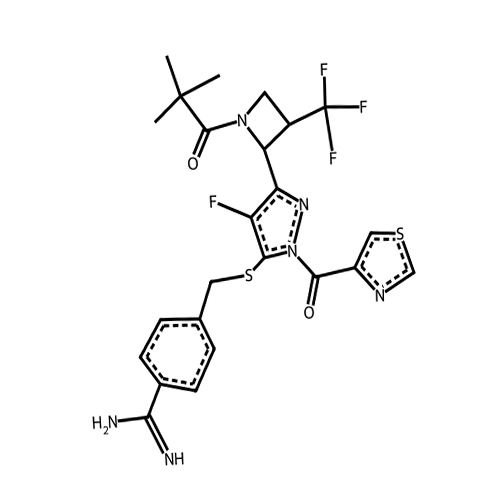 CC(C)(C)C(=O)N1CC(C(F)(F)F)C1c1nn(C(=O)c2cscn2)c(SCc2ccc(C(=N)N)cc2)c1F